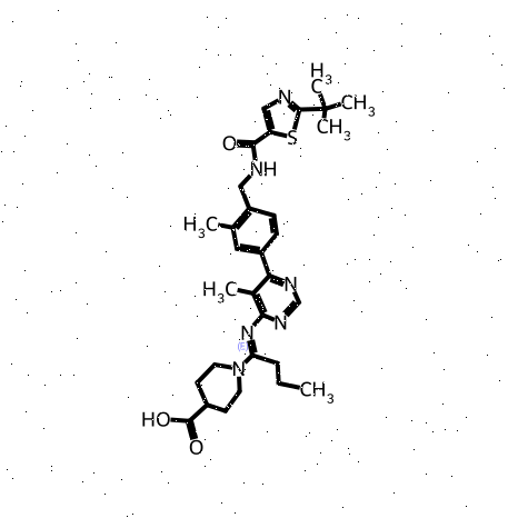 CCC/C(=N\c1ncnc(-c2ccc(CNC(=O)c3cnc(C(C)(C)C)s3)c(C)c2)c1C)N1CCC(C(=O)O)CC1